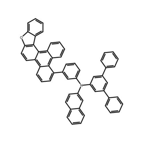 c1ccc(-c2cc(-c3ccccc3)cc(N(c3cccc(-c4cccc5c6ccc7oc8ccccc8c7c6c6ccccc6c45)c3)c3ccc4ccccc4c3)c2)cc1